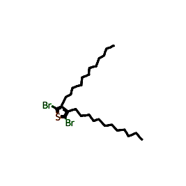 CCCCCCCCCCCCc1c(Br)sc(Br)c1CCCCCCCCCCCC